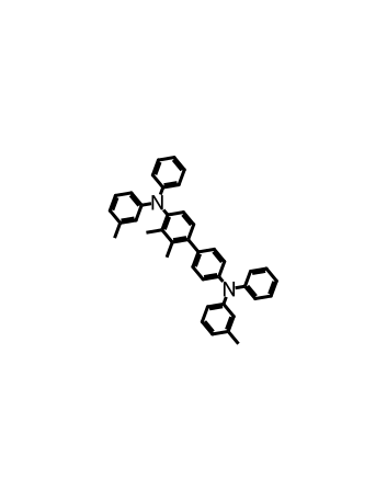 Cc1cccc(N(c2ccccc2)c2ccc(-c3ccc(N(c4ccccc4)c4cccc(C)c4)c(C)c3C)cc2)c1